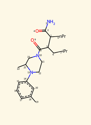 CCCC(C(N)=O)C(CC(C)C)C(=O)N1CCN(c2cccc(C)c2)C(C)C1